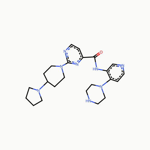 O=C(Nc1cnccc1N1CCNCC1)c1ccnc(N2CCC(N3CCCC3)CC2)n1